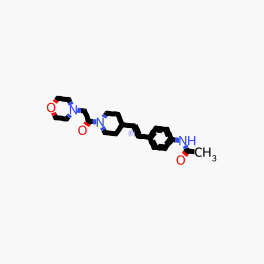 CC(=O)Nc1ccc(/C=C/C2CCN(C(=O)CN3CCOCC3)CC2)cc1